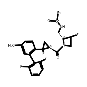 CC[S+]([O-])NC[C@@H]1C(F)CN1C(=O)[C@@H]1CC1(F)c1ccc(C)cc1-c1c(F)cccc1F